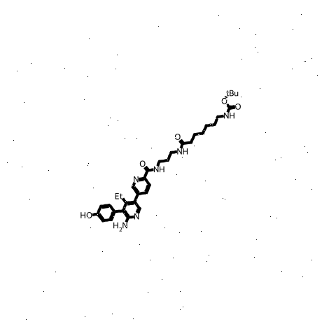 CCc1c(-c2ccc(C(=O)NCCCNC(=O)CCCCCCNC(=O)OC(C)(C)C)nc2)cnc(N)c1-c1ccc(O)cc1